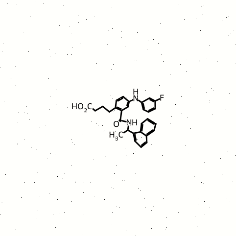 CC(NC(=O)c1cc(Nc2cccc(F)c2)ccc1CCCC(=O)O)c1cccc2ccccc12